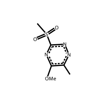 COc1nc(S(C)(=O)=O)nnc1C